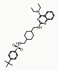 CCN(CC)c1nc(NCC2CCC(CNS(=O)(=O)c3ccc(C(C)(C)C)cc3)CC2)nc2ccccc12